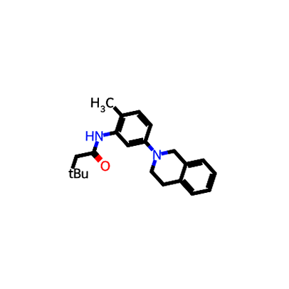 Cc1ccc(N2CCc3ccccc3C2)cc1NC(=O)CC(C)(C)C